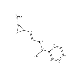 CO[C@H]1CC1/C=C/OC(=O)c1ccccc1